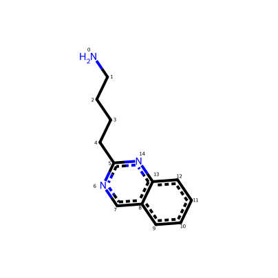 NCCCCc1ncc2ccccc2n1